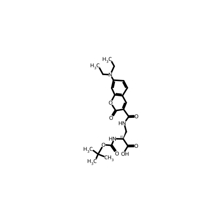 CCN(CC)c1ccc2cc(C(=O)NC[C@H](NC(=O)OC(C)(C)C)C(=O)O)c(=O)oc2c1